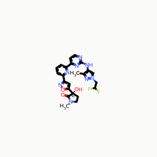 Cc1nn(CC(F)F)cc1Nc1nccc(-c2cccc(-c3cc([C@]4(O)CCN(C)C4=O)on3)n2)n1